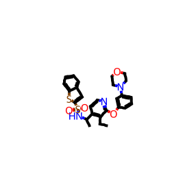 CCc1c(C(C)NS(=O)(=O)c2cc3ccccc3s2)ccnc1Oc1cccc(N2CCOCC2)c1